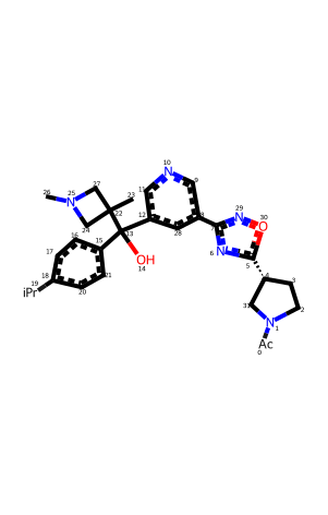 CC(=O)N1CC[C@@H](c2nc(-c3cncc(C(O)(c4ccc(C(C)C)cc4)C4(C)CN(C)C4)c3)no2)C1